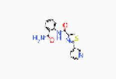 NC(=O)c1ccccc1NC(=O)c1csc(-c2cccnc2)n1